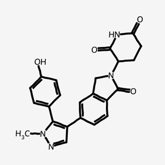 Cn1ncc(-c2ccc3c(c2)CN(C2CCC(=O)NC2=O)C3=O)c1-c1ccc(O)cc1